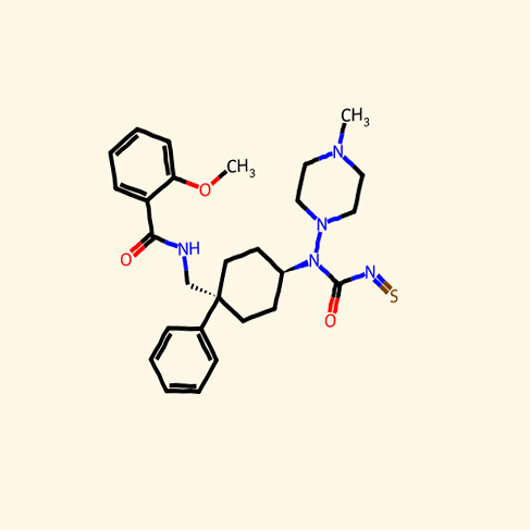 COc1ccccc1C(=O)NC[C@]1(c2ccccc2)CC[C@@H](N(C(=O)N=S)N2CCN(C)CC2)CC1